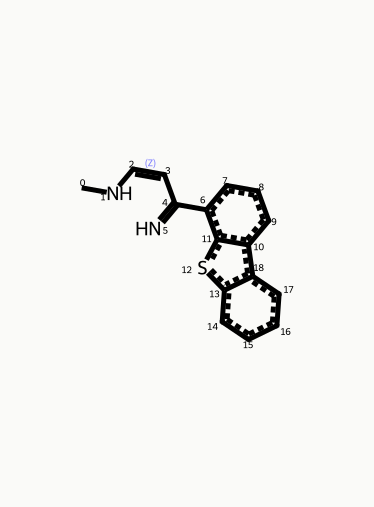 CN/C=C\C(=N)c1cccc2c1sc1ccccc12